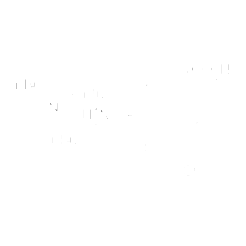 CCCCN(CCCC)CCCC.Nc1cc(C(=O)O)cc(C(=O)O)c1